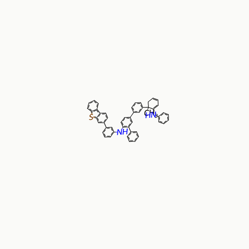 CC1(c2cccc(-c3ccc(Nc4cccc(-c5ccc6c(c5)sc5ccccc56)c4)c(-c4ccccc4)c3)c2)CC=CC=C1Nc1ccccc1